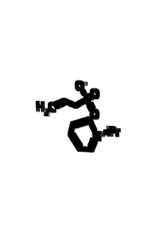 C=CCS(=O)(=O)[O-].CC(C)[n+]1ccccc1